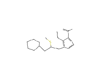 C=C(C)c1cccc(CC(CC2CCCCC2)SC)c1CC